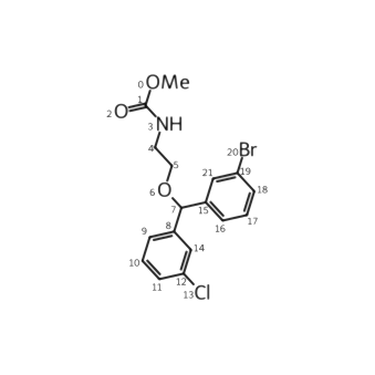 COC(=O)NCCOC(c1cccc(Cl)c1)c1cccc(Br)c1